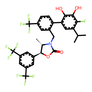 CC(C)c1cc(-c2ccc(C(F)(F)F)cc2CN2C(=O)O[C@@H](c3cc(C(F)(F)F)cc(C(F)(F)F)c3)[C@@H]2C)c(O)c(O)c1F